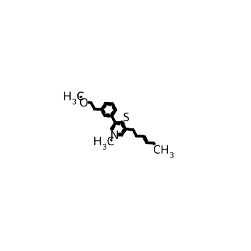 CCC=CCCc1cn(C)cc(-c2cccc(CCOC)c2)c1=S